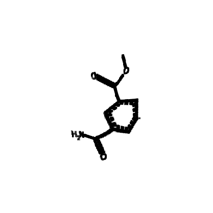 COC(=O)c1c[c]cc(C(N)=O)c1